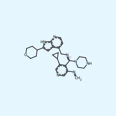 C=Nc1cncc(C2CC2)c1/C(=N\Cc1ccnc2[nH]c(C3CCOCC3)cc12)N1CCNCC1